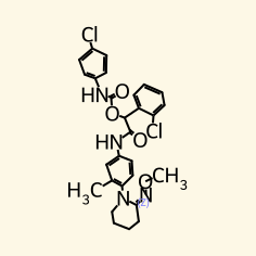 CO/N=C1/CCCCN1c1ccc(NC(=O)C(OC(=O)Nc2ccc(Cl)cc2)c2ccccc2Cl)cc1C